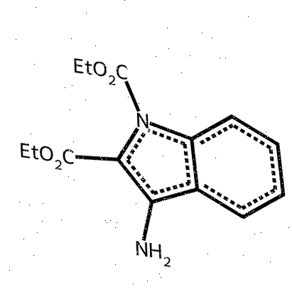 CCOC(=O)c1c(N)c2ccccc2n1C(=O)OCC